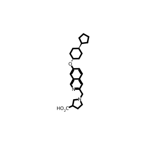 O=C(O)C1CCN(Cc2cc3ccc(O[C@H]4CC[C@H](C5CCCC5)CC4)cc3cn2)C1